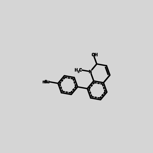 CCCCc1ccc(-c2cccc3c2N(C)C(O)C=C3)cc1